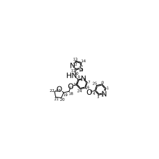 c1cncc(Oc2cnc(Nc3nccs3)c(OCC3CCCO3)c2)c1